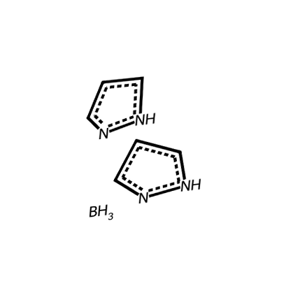 B.c1cn[nH]c1.c1cn[nH]c1